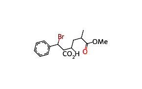 COC(=O)C(C)CC(CC(Br)c1ccccc1)C(=O)O